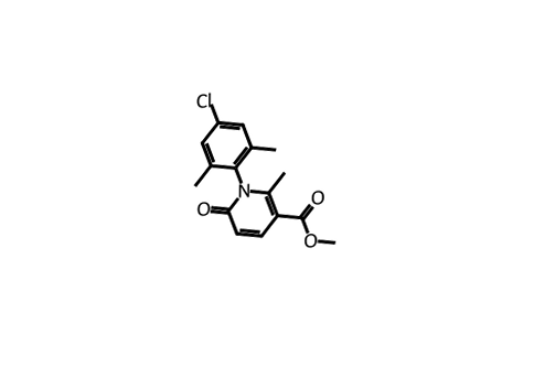 COC(=O)c1ccc(=O)n(-c2c(C)cc(Cl)cc2C)c1C